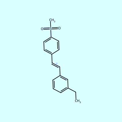 CCc1cccc(/C=C/c2ccc(S(C)(=O)=O)cc2)c1